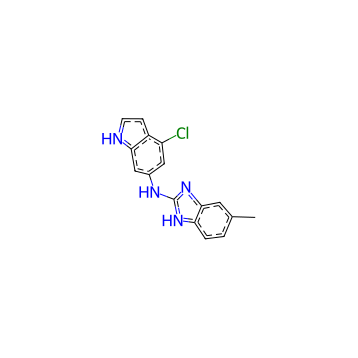 Cc1ccc2[nH]c(Nc3cc(Cl)c4cc[nH]c4c3)nc2c1